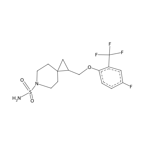 NS(=O)(=O)N1CCC2(CC1)CC2COc1ccc(F)cc1C(F)(F)F